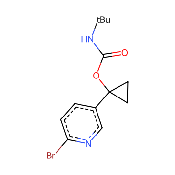 CC(C)(C)NC(=O)OC1(c2ccc(Br)nc2)CC1